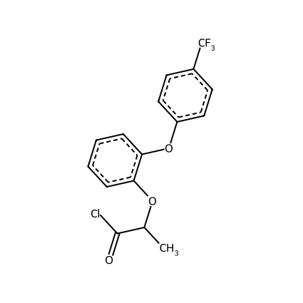 CC(Oc1ccccc1Oc1ccc(C(F)(F)F)cc1)C(=O)Cl